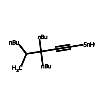 CCCCC(C)C(C#[C][SnH])(CCCC)CCCC